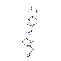 FC(F)(F)c1ccc(/C=C/c2nc(CCl)cs2)cc1